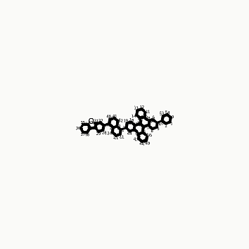 c1ccc(-c2ccc3c(c2)c2ccccc2c2c4ccc(-c5cccc6c(-c7ccc8c(c7)oc7ccccc78)cccc56)cc4c4ccccc4c32)cc1